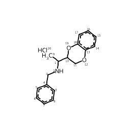 CC(NCc1ccccc1)C1COc2ccccc2O1.Cl